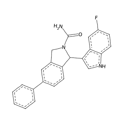 NC(=O)N1Cc2cc(-c3ccccc3)ccc2C1c1c[nH]c2ccc(F)cc12